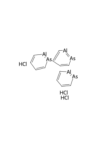 C1=[CH][Al]=[As]C=C1.C1=[CH][Al]=[As]C=C1.C1=[CH][Al]=[As]C=C1.Cl.Cl.Cl